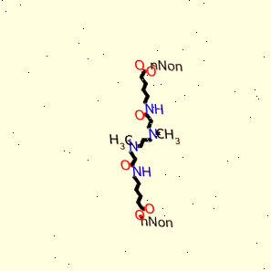 CCCCCCCCCOC(=O)CCCCCNC(=O)CCN(C)CCCN(C)CCC(=O)NCCCCCC(=O)OCCCCCCCCC